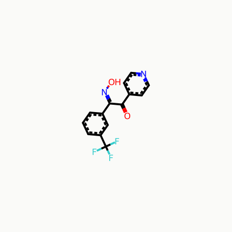 O=C(C(=NO)c1cccc(C(F)(F)F)c1)c1ccncc1